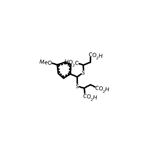 COc1ccc(C(SC(CC(=O)O)C(=O)O)SC(CC(=O)O)C(=O)O)cc1